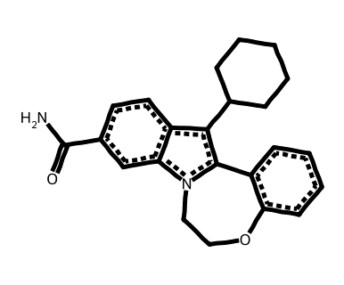 NC(=O)c1ccc2c(C3CCCCC3)c3n(c2c1)CCOc1ccccc1-3